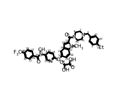 CCc1ccc(CN2CCN(C(=O)c3cc4cc(Oc5ccc(N(C)C(=O)c6ccc(C(F)(F)F)cc6)cn5)ccc4n3C)CC2)cc1.O=C(O)C(=O)O